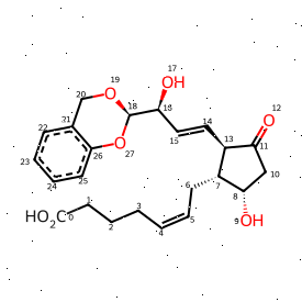 O=C(O)CCC/C=C\C[C@H]1[C@@H](O)CC(=O)[C@@H]1/C=C/[C@H](O)[C@@H]1OCc2ccccc2O1